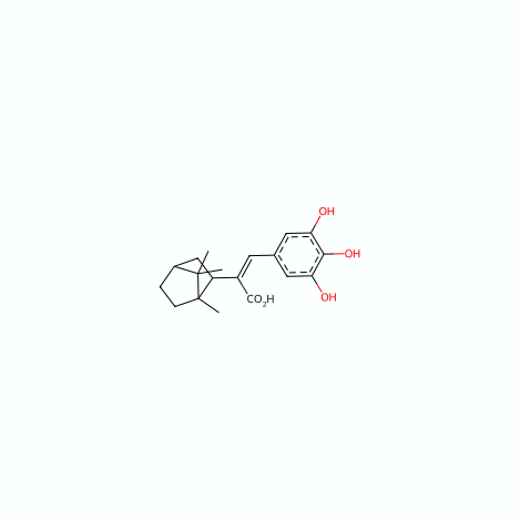 CC1(C)C2CCC1(C)C(C(=Cc1cc(O)c(O)c(O)c1)C(=O)O)C2